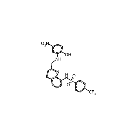 O=[N+]([O-])c1ccc(O)c(NCc2ccc3cccc(NS(=O)(=O)c4ccc(C(F)(F)F)cc4)c3n2)c1